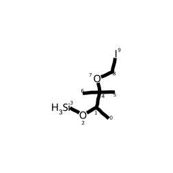 CC(O[SiH3])C(C)(C)OCI